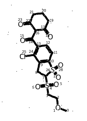 COCCS(=O)(=O)C1Cc2c(ccc(C(=O)C3C(=O)CCCC3=O)c2Cl)S1(=O)=O